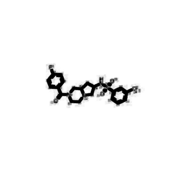 O=C(c1ccc(F)cc1)N1CCN2CC(NS(=O)(=O)c3cccc(C(F)(F)F)c3)CC2C1